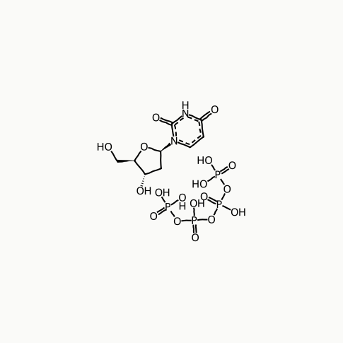 O=P(O)(O)OP(=O)(O)OP(=O)(O)OP(=O)(O)O.O=c1ccn([C@H]2C[C@H](O)[C@@H](CO)O2)c(=O)[nH]1